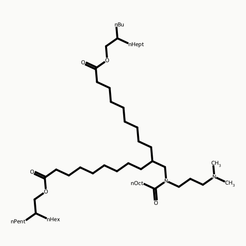 CCCCCCCCC(=O)N(CCCN(C)C)CC(CCCCCCCCC(=O)OCC(CCCC)CCCCCCC)CCCCCCCCC(=O)OCC(CCCCC)CCCCCC